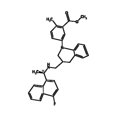 COC(=O)c1cc(N2CC(CN[C@H](C)c3ccc(F)c4ccccc34)Cc3ccccc32)ccc1C